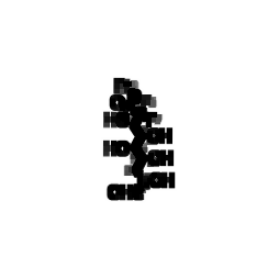 CCOP(=O)(O)C(F)(F)C[C@@H](O)[C@@H](O)[C@@H](O)CN(O)C=O